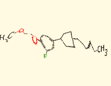 CCCCCC1CCC(c2ccc(OCCOC)c(F)c2)CC1